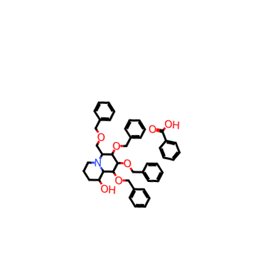 O=C(O)c1ccccc1.OC1CCCN2C(COCc3ccccc3)C(OCc3ccccc3)C(OCc3ccccc3)C(OCc3ccccc3)C12